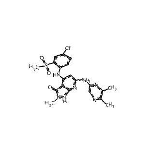 Cc1ncc(Nc2cc(Nc3ccc(Cl)cc3S(C)(=O)=O)c3c(=O)n(C)[nH]c3n2)nc1C